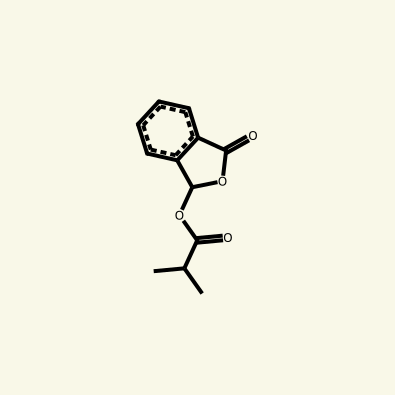 CC(C)C(=O)OC1OC(=O)c2ccccc21